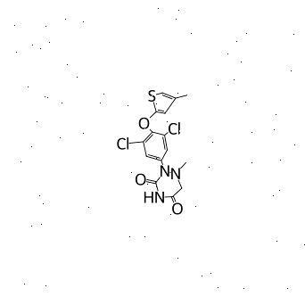 Cc1csc(Oc2c(Cl)cc(N3C(=O)NC(=O)CN3C)cc2Cl)c1